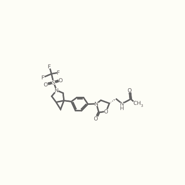 CC(=O)NC[C@H]1CN(c2ccc(C34CC3CN(S(=O)(=O)C(F)(F)F)C4)cc2)C(=O)O1